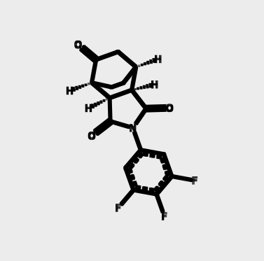 O=C1C[C@@H]2CC[C@H]1[C@@H]1C(=O)N(c3cc(F)c(F)c(F)c3)C(=O)[C@H]21